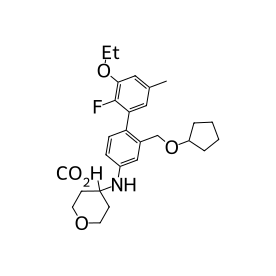 CCOc1cc(C)cc(-c2ccc(NC3(C(=O)O)CCOCC3)cc2COC2CCCC2)c1F